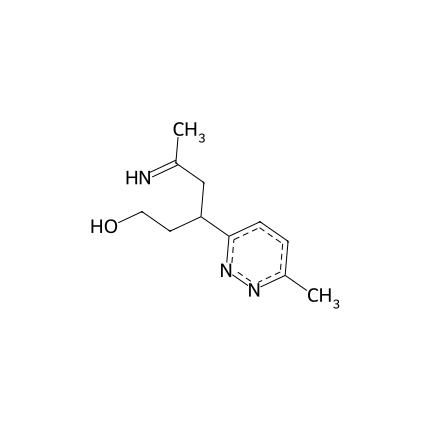 CC(=N)CC(CCO)c1ccc(C)nn1